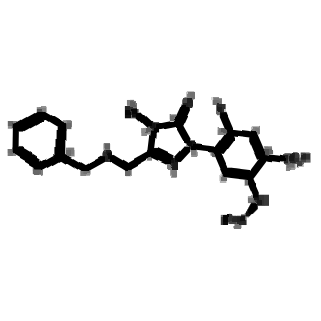 CCC[C@H](C)Nc1cc(-n2nc(COCc3ccccc3)n(CC)c2=O)c(F)cc1C(=O)O